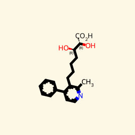 Cc1nccc(-c2ccccc2)c1CCCC[C@@H](O)[C@@H](O)C(=O)O